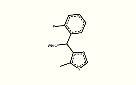 COC(c1ccccc1F)c1scnc1C